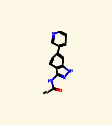 CCCC(=O)Nc1n[nH]c2cc(-c3cccnc3)ccc12